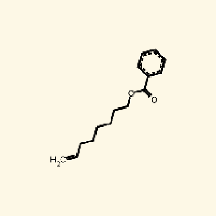 C=CCCCCCCOC(=O)c1ccccc1